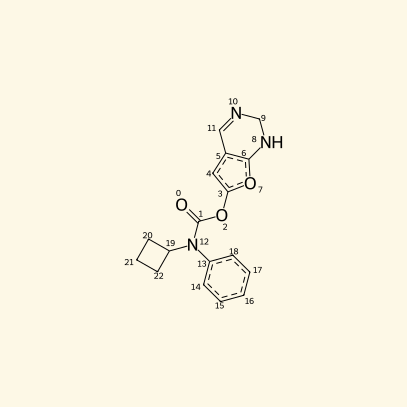 O=C(Oc1cc2c(o1)NCN=C2)N(c1ccccc1)C1CCC1